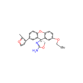 Cc1occc1-c1ccc2c(c1)[C@@]1(COC(N)=N1)c1cc(OCC(C)(C)C)ccc1O2